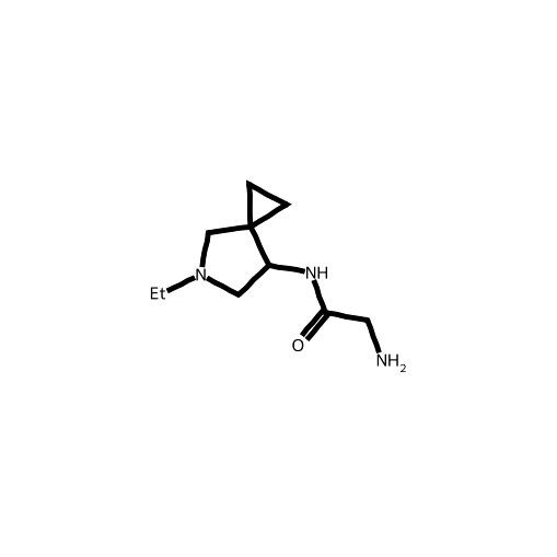 CCN1CC(NC(=O)CN)C2(CC2)C1